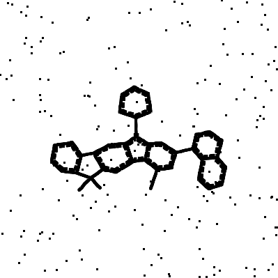 Cc1cc(-c2cccc3ccccc23)cc2c1c1cc3c(cc1n2-c1ccccc1)-c1ccccc1C3(C)C